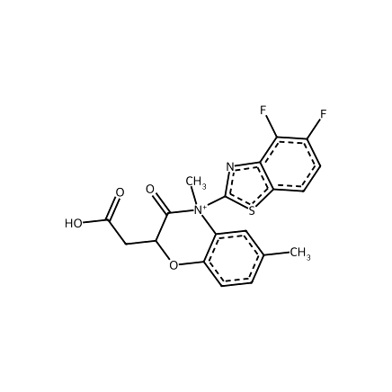 Cc1ccc2c(c1)[N+](C)(c1nc3c(F)c(F)ccc3s1)C(=O)C(CC(=O)O)O2